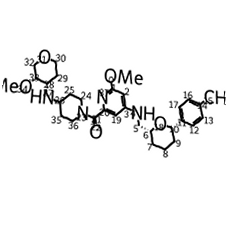 COc1cc(NC[C@H]2CCC[C@@H](c3ccc(C)cc3)O2)cc(C(=O)N2CCC(N[C@H]3CCOC[C@H]3OC)CC2)n1